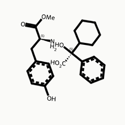 COC(=O)[C@@H](N)Cc1ccc(O)cc1.O=C(O)[C@@](O)(c1ccccc1)C1CCCCC1